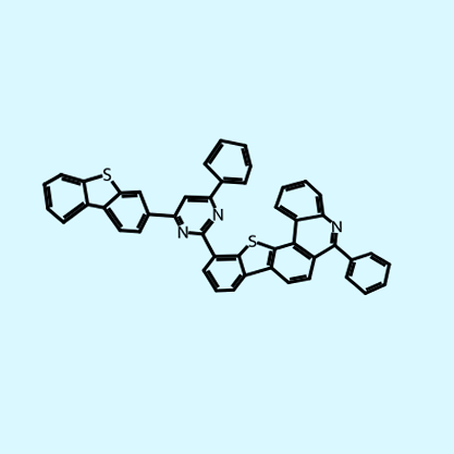 c1ccc(-c2cc(-c3ccc4c(c3)sc3ccccc34)nc(-c3cccc4c3sc3c4ccc4c(-c5ccccc5)nc5ccccc5c43)n2)cc1